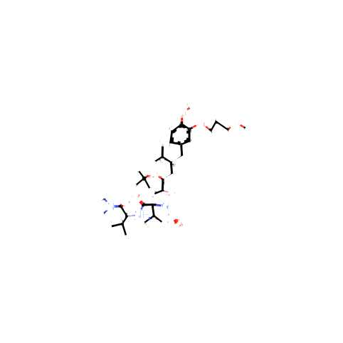 COCCCOc1cc(C[C@@H](C[C@H](OC(C)(C)C)[C@@H](O)C[C@@](N=C=O)(C(=O)N[C@H](C(=O)N(C)C)C(C)C)C(C)C)C(C)C)ccc1OC